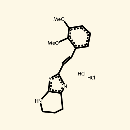 COc1cccc(/C=C/c2nc3c(s2)NCCC3)c1OC.Cl.Cl